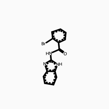 O=C(Nc1nc2ccccc2[nH]1)c1ccccc1Br